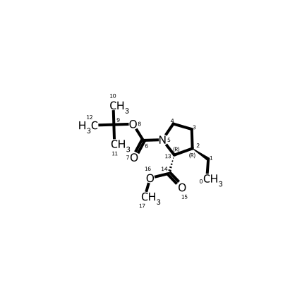 CC[C@@H]1CCN(C(=O)OC(C)(C)C)[C@H]1C(=O)OC